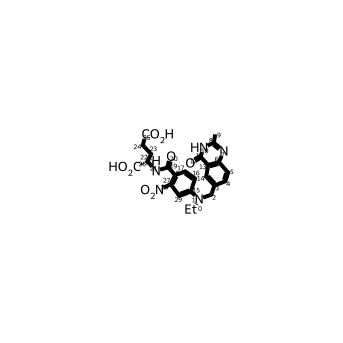 CCN(Cc1ccc2nc(C)[nH]c(=O)c2c1)c1ccc(C(=O)N[C@@H](CCC(=O)O)C(=O)O)c([N+](=O)[O-])c1